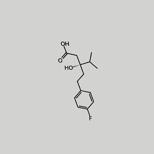 CC(C)[C@@](O)(CCc1ccc(F)cc1)CC(=O)O